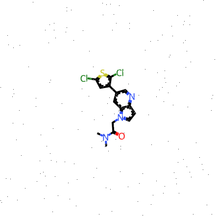 CN(C)C(=O)Cn1ccc2ncc(-c3cc(Cl)sc3Cl)cc21